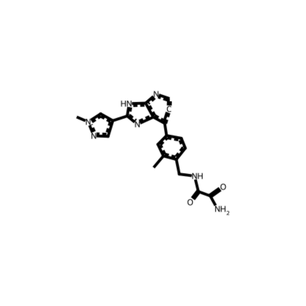 Cc1cc(-c2ccnc3[nH]c(-c4cnn(C)c4)nc23)ccc1CNC(=O)C(N)=O